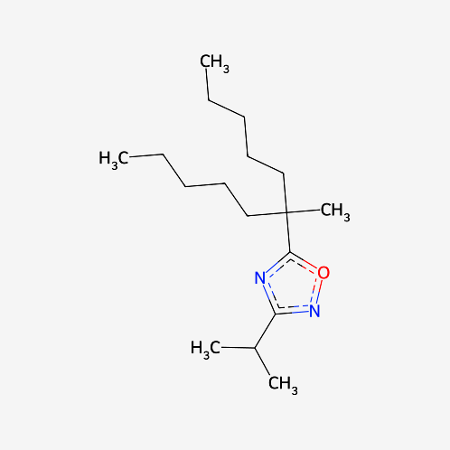 CCCCCC(C)(CCCCC)c1nc(C(C)C)no1